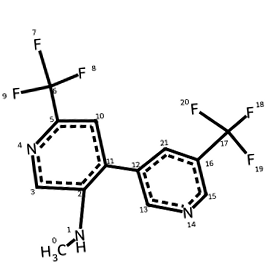 CNc1cnc(C(F)(F)F)cc1-c1cncc(C(F)(F)F)c1